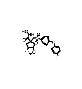 O=C(NO)C1(CS(=O)(=O)c2ccc(Oc3ccc(F)cc3)cc2)CC2OCOC2C1